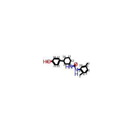 Cc1ccc(C)c(NC(=O)NC2CCCC(c3ccc(O)cc3)C2)c1